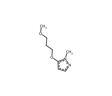 COCCCOc1ccnn1C